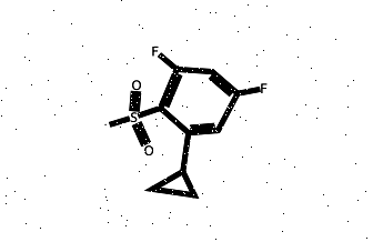 [CH2]S(=O)(=O)c1c(F)cc(F)cc1C1CC1